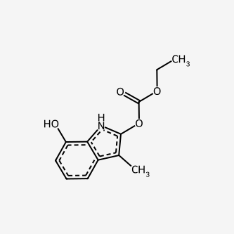 CCOC(=O)Oc1[nH]c2c(O)cccc2c1C